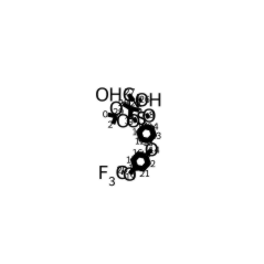 CC1(C)OCC(CS(=O)(=O)c2ccc(Oc3ccc(OC(F)(F)F)cc3)cc2)(N(O)C=O)CO1